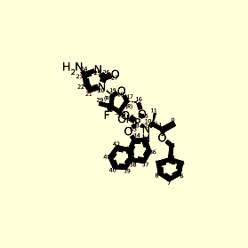 C=C(OCc1ccccc1)[C@H](C)NP(=O)(OC[C@H]1O[C@@H](n2ccc(N)nc2=O)C(C)(F)C1O)Oc1cccc2ccccc12